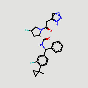 CC1(c2ccc([C@@H](NC(=O)[C@@H]3C[C@@H](F)CN3C(=O)Cc3cnn[nH]3)c3ccccc3)cc2F)CC1